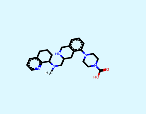 CN(CC1Cc2c(cccc2N2CCN(C(=O)O)CC2)CN1)C1CCCc2cccnc21